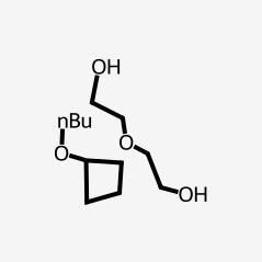 CCCCOC1CCC1.OCCOCCO